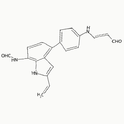 C=Cc1cc2c(-c3ccc(NC=CC=O)cc3)ccc(NC=O)c2[nH]1